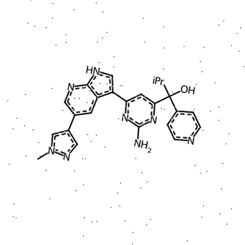 CC(C)C(O)(c1ccncc1)c1cc(-c2c[nH]c3ncc(-c4cnn(C)c4)cc23)nc(N)n1